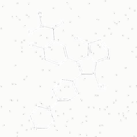 CCN(CC)C(=O)c1cc(-c2c(-c3ccc(N4CCNCC4)cc3)n(C)c3nccc(Cl)c23)ccc1Cl